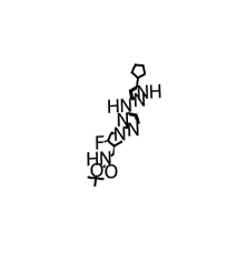 CC(C)(C)OC(=O)NC[C@@H]1CN(c2nccc(Nc3cc(C4CCCC4)[nH]n3)n2)C[C@@H]1F